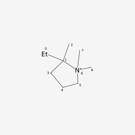 CCC1(C)CCC[N+]1(C)C